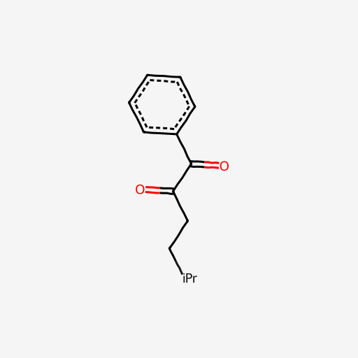 CC(C)CCC(=O)C(=O)c1ccccc1